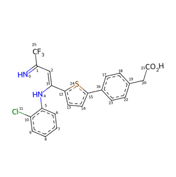 N=C(/C=C(\Nc1ccccc1Cl)c1ccc(-c2ccc(CC(=O)O)cc2)s1)C(F)(F)F